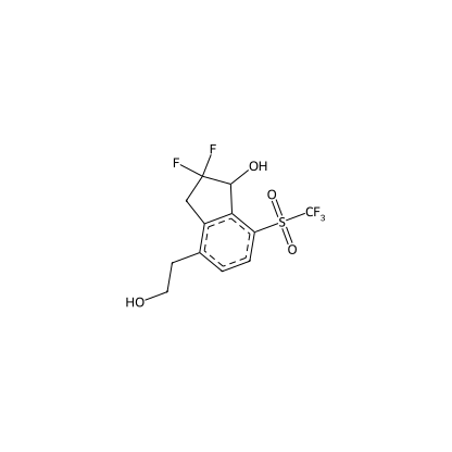 O=S(=O)(c1ccc(CCO)c2c1C(O)C(F)(F)C2)C(F)(F)F